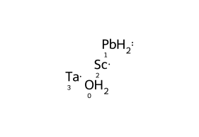 O.[PbH2].[Sc].[Ta]